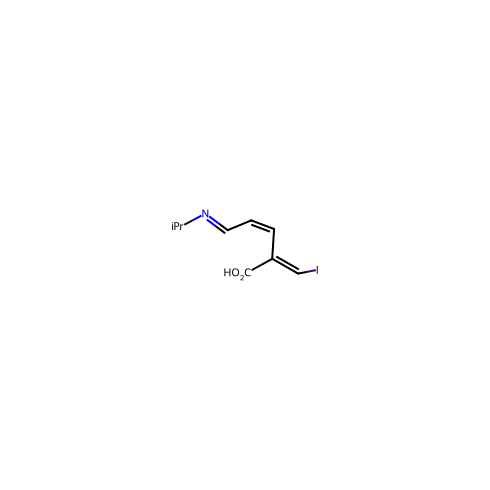 CC(C)/N=C/C=C\C(=C/I)C(=O)O